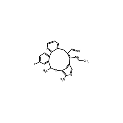 CCN/C1=C(\C=N)Cc2cccnc2-c2ccc(F)cc2C(C)Oc2cc1cnc2N